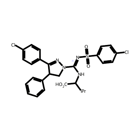 CC(C)C(N/C(=N\S(=O)(=O)c1ccc(Cl)cc1)N1CC(c2ccccc2)C(c2ccc(Cl)cc2)=N1)C(=O)O